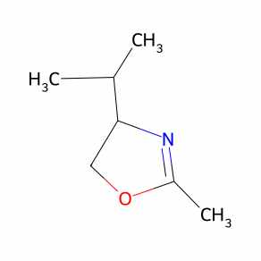 CC1=NC(C(C)C)CO1